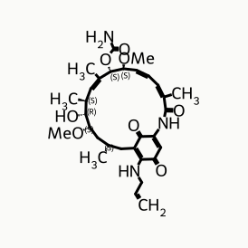 C=CCNC1=C2C[C@H](C)C[C@H](OC)[C@H](O)[C@@H](C)C=C(C)[C@H](OC(N)=O)[C@@H](OC)C=CC=C(C)C(=O)NC(=CC1=O)C2=O